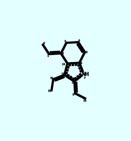 CC=C1CC=Cc2[nH]c(=CC)c(=CC)c21